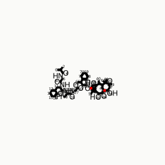 C=C(C)C(=O)NCC(=O)NC(Cc1ccccc1)C(=O)NC(CC(C)C)C(=O)NCC(=O)OC(C(=O)OC1C[C@@]2(O)C(C)C3C[C@](C)(C(=O)[C@H](O)C(=C1C)C2(C)C)[C@@H](O)CC1(C)OCC31C)C(C)c1ccccc1